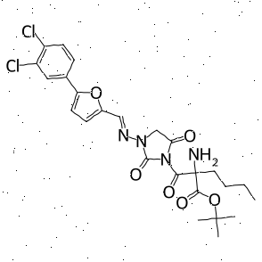 CCCCC(N)(C(=O)OC(C)(C)C)C(=O)N1C(=O)CN(N=Cc2ccc(-c3ccc(Cl)c(Cl)c3)o2)C1=O